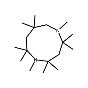 CN1CC(C)(C)CC(C)(C)N(C)C(C)(C)CC1(C)C